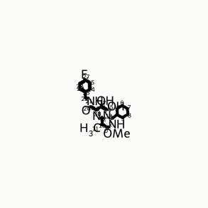 COC(NCC1CCCCC1)C(C)c1nc(O)c(O)c(C(=O)NCc2ccc(F)cc2)n1